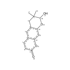 CC1(C)Cc2cc3ccc(=O)oc3cc2OC1O